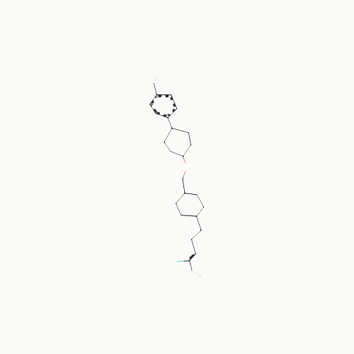 CCCCc1ccc(C2CCC(OCC3CCC(CCC=C(F)C#N)CC3)CC2)cc1